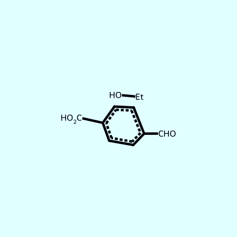 CCO.O=Cc1ccc(C(=O)O)cc1